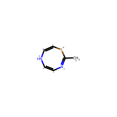 Cc1ncc[nH]ccs1